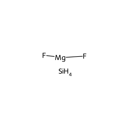 [F][Mg][F].[SiH4]